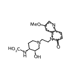 COc1cnc2ccc(=O)n(CCN3CC[C@H](NC(=O)O)[C@H](O)C3)c2c1